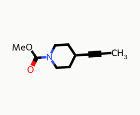 CC#CC1CCN(C(=O)OC)CC1